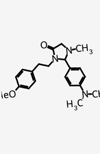 COc1ccc(CCN2C(=O)CN(C)C2c2ccc(N(C)C)cc2)cc1